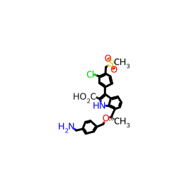 C[C@H](OCc1ccc(CN)cc1)c1cccc2c(-c3ccc(CS(C)(=O)=O)c(Cl)c3)c(C(=O)O)[nH]c12